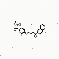 COC(=O)C(=O)c1ccc(OCCCC(=O)c2ccc3ccccc3c2)cc1